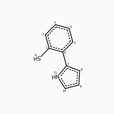 Sc1ccccc1-c1ccc[nH]1